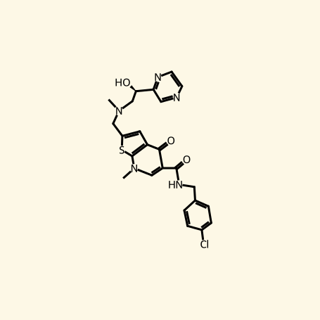 CN(Cc1cc2c(=O)c(C(=O)NCc3ccc(Cl)cc3)cn(C)c2s1)C[C@@H](O)c1cnccn1